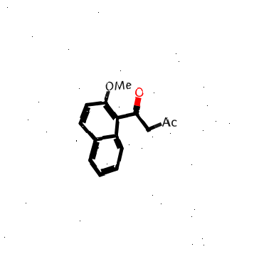 COc1ccc2ccccc2c1C(=O)CC(C)=O